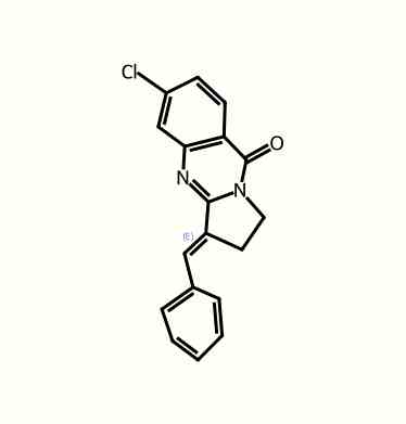 O=c1c2ccc(Cl)cc2nc2n1CC/C2=C\c1ccccc1